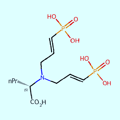 CCC[C@@H](C(=O)O)N(CC=CP(=O)(O)O)CC=CP(=O)(O)O